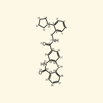 O=C(NCc1ccccc1N1CCCC1)c1ccc2c(c1)NC(=O)c1ccccc1S2